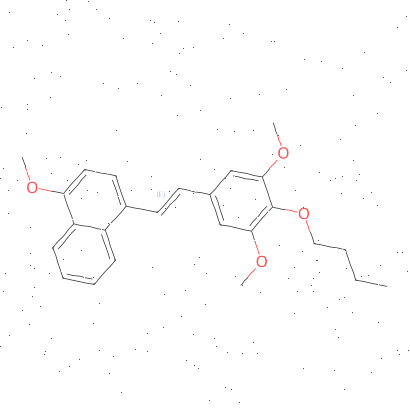 CCCCOc1c(OC)cc(/C=C/c2ccc(OC)c3ccccc23)cc1OC